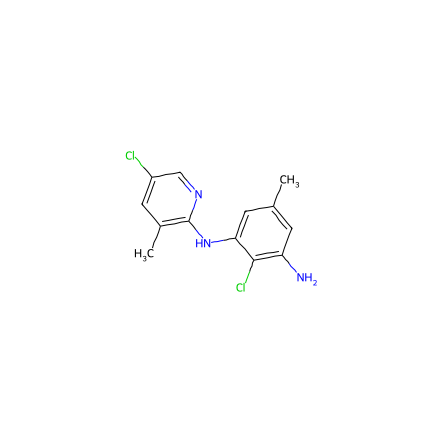 Cc1cc(N)c(Cl)c(Nc2ncc(Cl)cc2C)c1